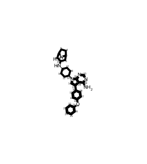 CN1C2CCC1CC(N[C@H]1CC[C@H](n3cc(-c4ccc(Oc5ccccc5)cc4)c4c(N)ncnc43)CC1)C2